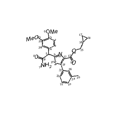 COc1ccc(C(C(N)=O)c2nc(C(=O)OCC3CC3)c(-c3cccc(C)c3)s2)cc1OC